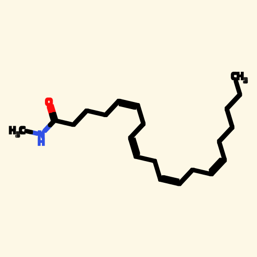 CCCCC/C=C\C/C=C\C/C=C\C/C=C\CCCC(=O)NC